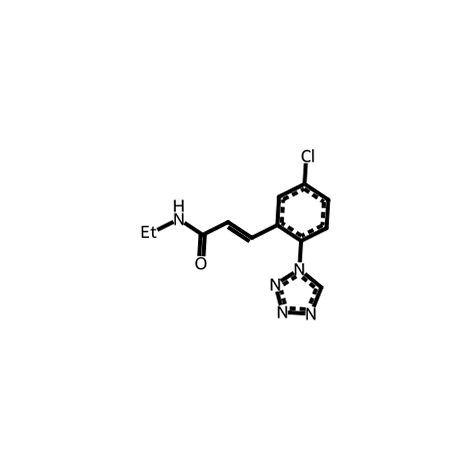 CCNC(=O)/C=C/c1cc(Cl)ccc1-n1cnnn1